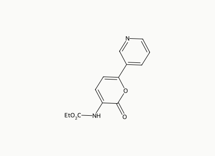 CCOC(=O)Nc1ccc(-c2cccnc2)oc1=O